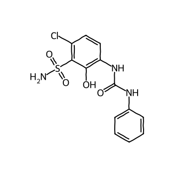 NS(=O)(=O)c1c(Cl)ccc(NC(=O)Nc2ccccc2)c1O